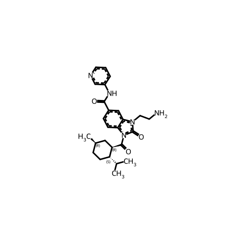 CC(C)[C@@H]1CC[C@@H](C)C[C@H]1C(=O)n1c(=O)n(CCN)c2cc(C(=O)Nc3cccnc3)ccc21